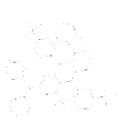 CC(C)(C)c1ccc(N2c3cc(N(c4ccccc4)c4ccccc4)cc4c3B(c3cc(C(C)(C)C)ccc3C4(C)C)c3ccc4oc5ccccc5c4c32)cc1